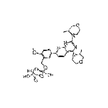 COc1ccc(-c2ccc3c(N4CCOC[C@@H]4C)nc(N4CCOC[C@@H]4C)nc3n2)cc1COP(=O)(O)OP(=O)(O)O